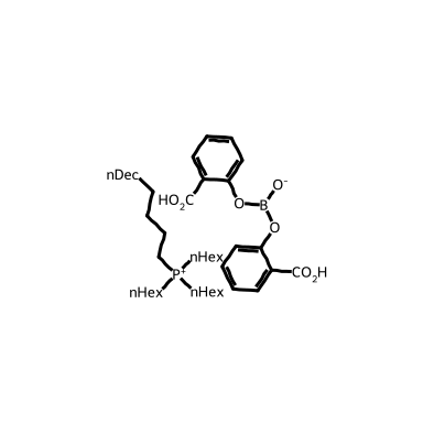 CCCCCCCCCCCCCC[P+](CCCCCC)(CCCCCC)CCCCCC.O=C(O)c1ccccc1OB([O-])Oc1ccccc1C(=O)O